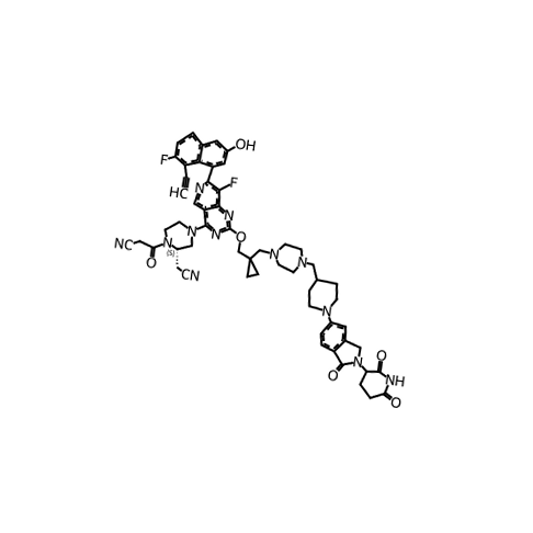 C#Cc1c(F)ccc2cc(O)cc(-c3ncc4c(N5CCN(C(=O)CC#N)[C@@H](CC#N)C5)nc(OCC5(CN6CCN(CC7CCN(c8ccc9c(c8)CN(C8CCC(=O)NC8=O)C9=O)CC7)CC6)CC5)nc4c3F)c12